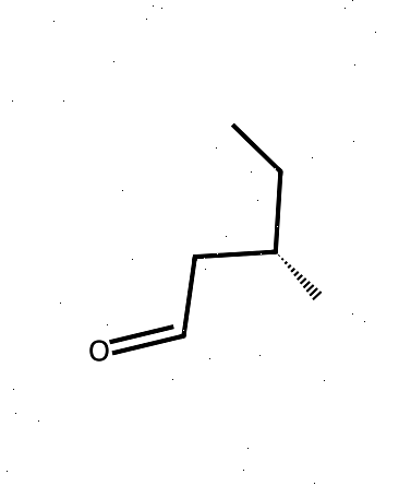 CC[C@H](C)CC=O